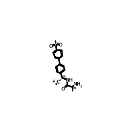 C[C@H](N)C(=O)N[C@@H](c1ccc(-c2ccc(S(C)(=O)=O)cc2)cc1)C(F)(F)F